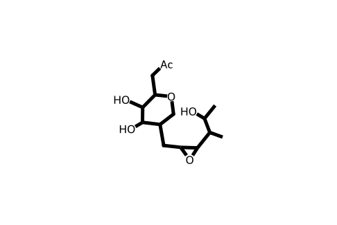 CC(=O)CC1OCC(CC2OC2C(C)C(C)O)C(O)C1O